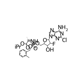 Cc1ccccc1CO[P@](=O)(N[C@@H](C)C(=O)OC(C)C)OCC1OC(n2cnc3c(N)nc(Cl)nc32)C(F)C1O